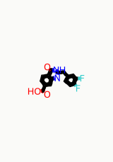 O=C(O)c1ccc2c(=O)[nH]c(Cc3ccc(F)c(F)c3)nc2c1